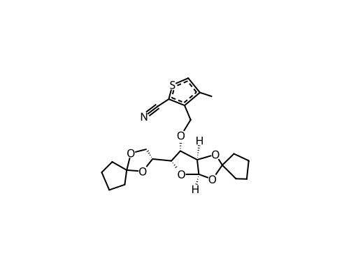 Cc1csc(C#N)c1CO[C@@H]1[C@H]2OC3(CCCC3)O[C@H]2O[C@@H]1[C@H]1COC2(CCCC2)O1